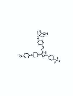 CCC(CC)(Oc1ccc(SCc2sc(-c3ccc(C(F)(F)F)cc3)nc2N2CCN(c3ccc(OC)cc3)CC2)cc1)C(=O)O